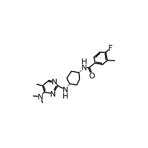 Cc1cc(C(=O)N[C@H]2CC[C@@H](Nc3ncc(C)c(N(C)C)n3)CC2)ccc1F